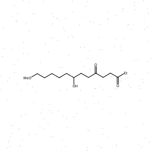 CCC(=O)CCC(=O)CCC(O)CCCCCOC